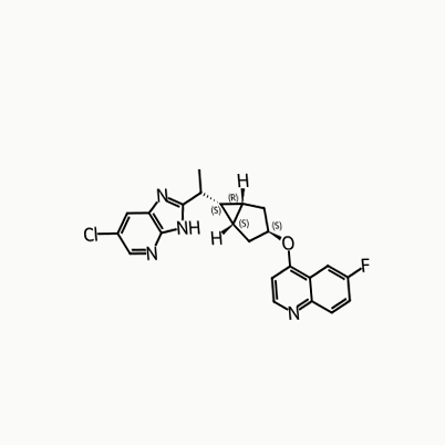 CC(c1nc2cc(Cl)cnc2[nH]1)[C@@H]1[C@@H]2C[C@@H](Oc3ccnc4ccc(F)cc34)C[C@@H]21